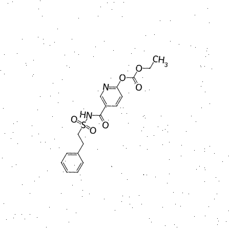 CCOC(=O)Oc1ccc(C(=O)NS(=O)(=O)CCc2ccccc2)cn1